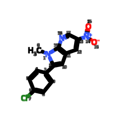 Cn1c(-c2ccc(Cl)cc2)cc2cc([N+](=O)[O-])cnc21